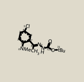 CNc1ccc(Cl)cc1/C(C)=N/NC(=O)OC(C)(C)C